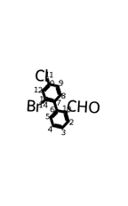 O=Cc1ccccc1-c1ccc(Cl)cc1Br